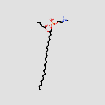 CCCCCCCCCCCCCCCCCCCCCC(COP(O)OCCNC)OC(=O)CCC